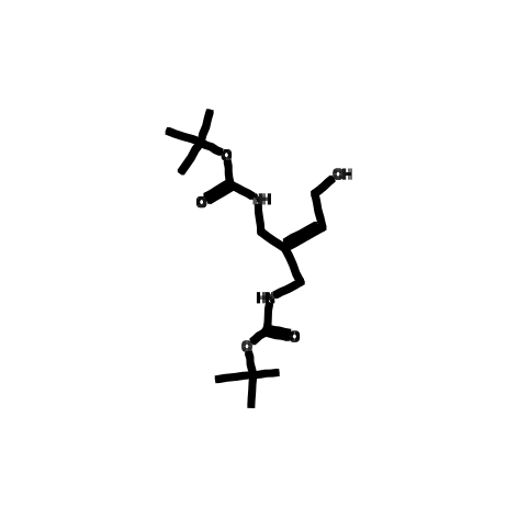 CC(C)(C)OC(=O)NCC(=CCO)CNC(=O)OC(C)(C)C